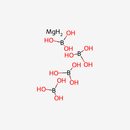 OB(O)O.OB(O)O.OB(O)O.OB(O)O.[MgH2]